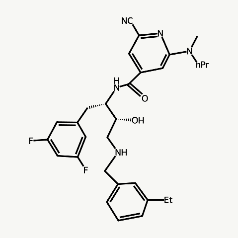 CCCN(C)c1cc(C(=O)N[C@@H](Cc2cc(F)cc(F)c2)[C@H](O)CNCc2cccc(CC)c2)cc(C#N)n1